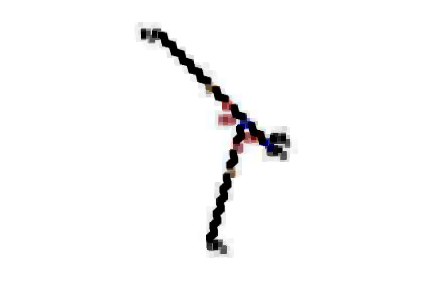 CCCCCCCCCCCCSCCCOCC(O)CN(CCCCN(C)C)CC(O)COCCCSCCCCCCCCCCCC